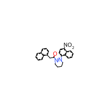 O=C(Cc1cccc2ccccc12)N1CCCCN1c1ccc([N+](=O)[O-])c2ccccc12